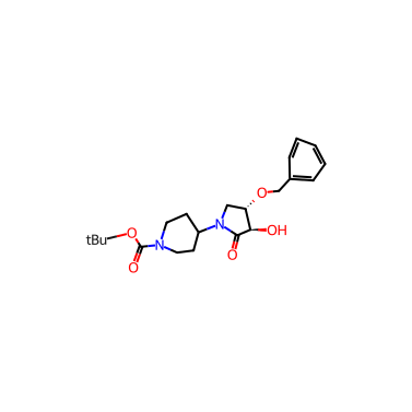 CC(C)(C)OC(=O)N1CCC(N2C[C@H](OCc3ccccc3)[C@@H](O)C2=O)CC1